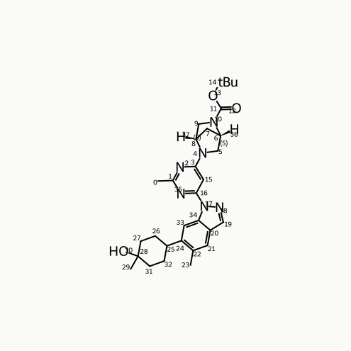 Cc1nc(N2C[C@@H]3C[C@H]2CN3C(=O)OC(C)(C)C)cc(-n2ncc3cc(C)c(C4CCC(C)(O)CC4)cc32)n1